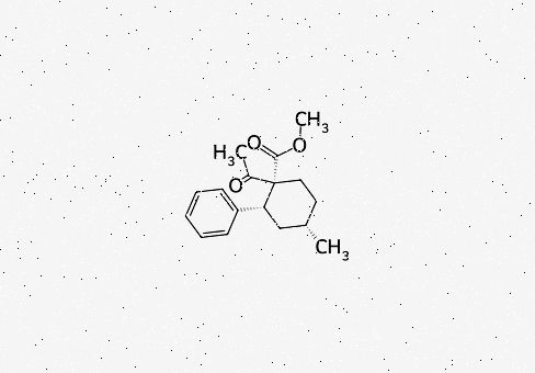 COC(=O)[C@]1(C(C)=O)CC[C@H](C)C[C@@H]1c1ccccc1